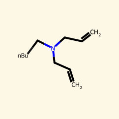 C=CCN(CC=C)CCCCC